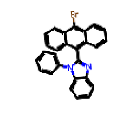 Brc1c2ccccc2c(-c2nc3ccccc3n2-c2ccccc2)c2ccccc12